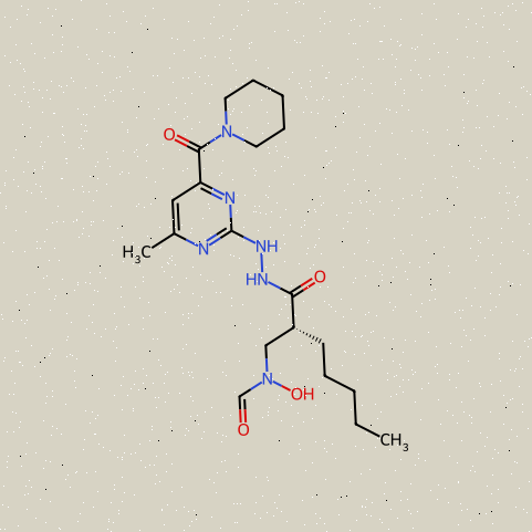 CCCCC[C@H](CN(O)C=O)C(=O)NNc1nc(C)cc(C(=O)N2CCCCC2)n1